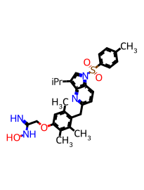 Cc1ccc(S(=O)(=O)n2cc(C(C)C)c3nc(Cc4c(C)cc(OCC(=N)NO)c(C)c4C)ccc32)cc1